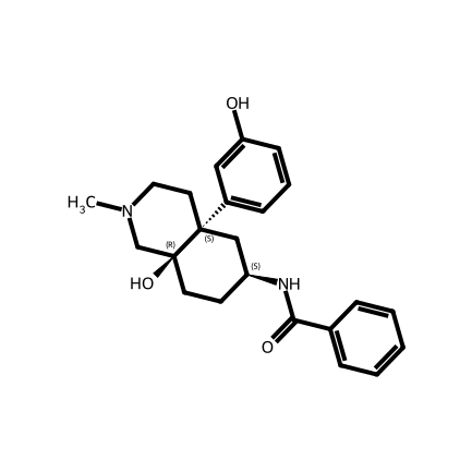 CN1CC[C@@]2(c3cccc(O)c3)C[C@@H](NC(=O)c3ccccc3)CC[C@]2(O)C1